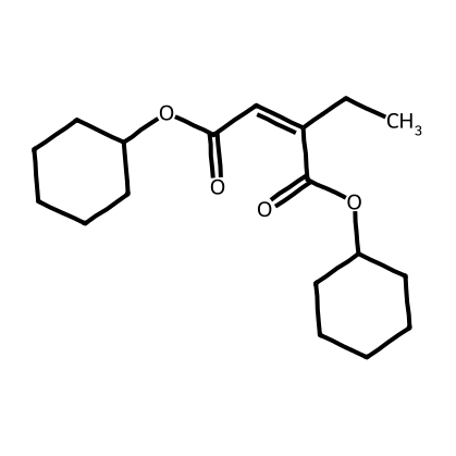 CC/C(=C/C(=O)OC1CCCCC1)C(=O)OC1CCCCC1